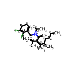 C=C(C)/C(C(=C)N(CC1=CCCC(F)=C1F)C(C)C)=C(\C)C(C)CCCC